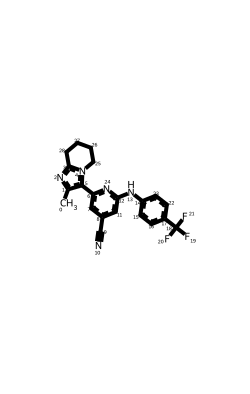 Cc1nc2n(c1-c1cc(C#N)cc(Nc3ccc(C(F)(F)F)cc3)n1)CCCC2